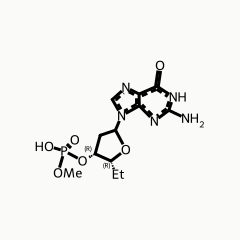 CC[C@H]1OC(n2cnc3c(=O)[nH]c(N)nc32)C[C@H]1OP(=O)(O)OC